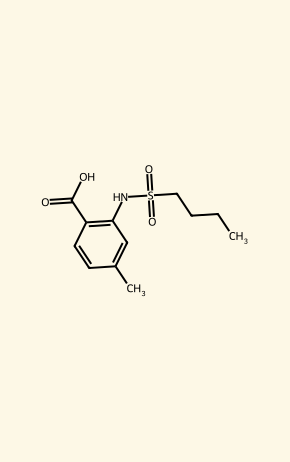 CCCCS(=O)(=O)Nc1cc(C)ccc1C(=O)O